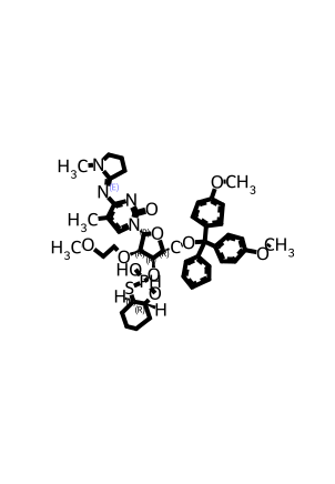 COCCO[C@@H]1[C@H](O[PH]2(O)O[C@@H]3CCCC[C@H]3S2)[C@@H](COC(c2ccccc2)(c2ccc(OC)cc2)c2ccc(OC)cc2)O[C@H]1n1cc(C)c(/N=C2\CCCN2C)nc1=O